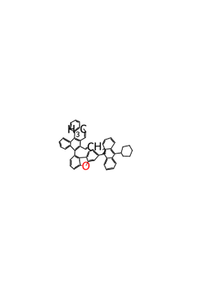 C=Cc1c(/C=C\C)c(-c2ccccc2)c2ccccc2c1-c1cccc2oc3cc(-c4c5ccccc5c(C5CCCCC5)c5ccccc45)ccc3c12